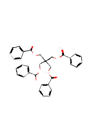 O=C(OCC(COC(=O)c1ccccc1)(COC(=O)c1ccccc1)COC(O)c1ccccc1)c1ccccc1